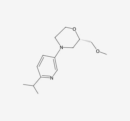 COC[C@@H]1CN(c2ccc(C(C)C)nc2)CCO1